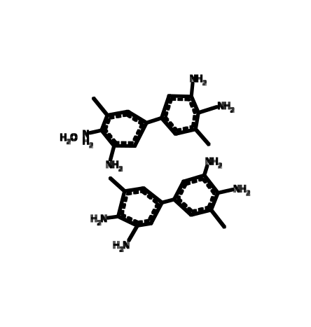 Cc1cc(-c2cc(C)c(N)c(N)c2)cc(N)c1N.Cc1cc(-c2cc(C)c(N)c(N)c2)cc(N)c1N.O